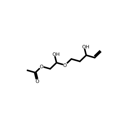 C=CC(O)CCOC(O)COC(C)=O